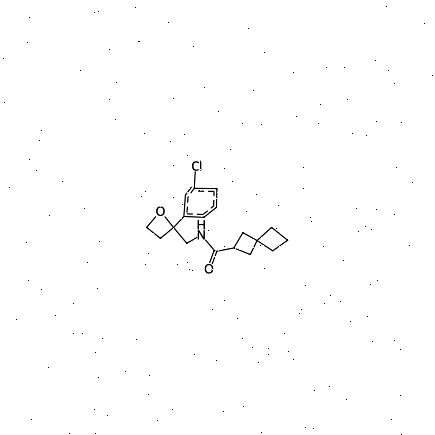 O=C(NCC1(c2cccc(Cl)c2)CCO1)C1CC2(CCC2)C1